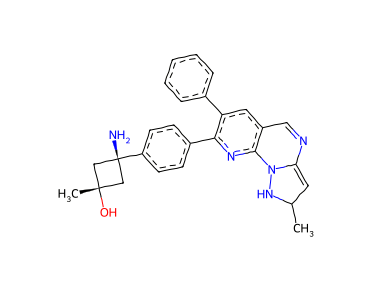 CC1C=C2N=Cc3cc(-c4ccccc4)c(-c4ccc([C@]5(N)C[C@](C)(O)C5)cc4)nc3N2N1